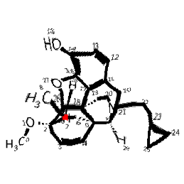 CO[C@@]12C=C[C@]3(C[C@H]1C)[C@@H]1Cc4ccc(O)c5c4[C@]3(CCN1CC1CC1)[C@@H]2O5